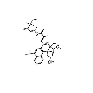 C=C(S/C(C)=C/C(=C)C(C)(C)CC)/C(C)=C/C1=NC(CC)(C(=C)OC)C(CC)(CCO)c2c1cc(C(C)(C)C)c1ccccc21